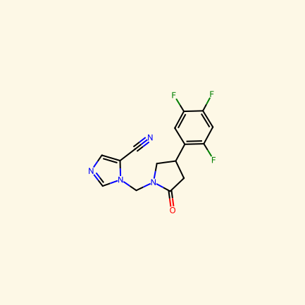 N#Cc1cncn1CN1CC(c2cc(F)c(F)cc2F)CC1=O